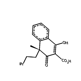 CC(C)CC[C@@]1(C)C(=O)C(C(=O)O)=C(O)c2ccccc21